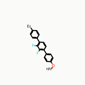 CCCOc1ccc(-c2ccc(-c3ccc(CC)cc3)c(F)c2F)cc1